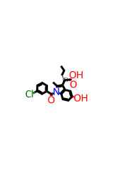 CCC[C@H](C(=O)O)c1c(C)n(C(=O)c2cccc(Cl)c2)c2ccc(O)cc12